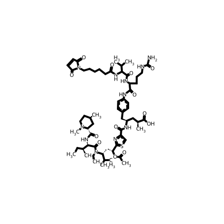 CC[C@H](C)[C@H](NC(=O)[C@H]1C[C@H](C)CCN1C)C(=O)N(CC)[C@H](C[C@@H](OC(C)=O)c1nc(C(=O)N[C@@H](Cc2ccc(NC(=O)C(CCCNC(N)=O)NC(=O)C(NC(=O)CCCCCN3C(=O)C=CC3=O)C(C)C)cc2)C[C@H](C)C(=O)O)cs1)C(C)C